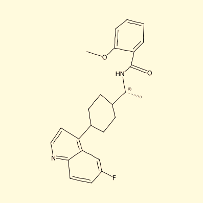 COc1ccccc1C(=O)N[C@H](C)C1CCC(c2ccnc3ccc(F)cc23)CC1